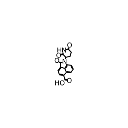 O=C1CCC(N2C(=O)c3ccc(C(=O)O)c4cccc2c34)C(=O)N1